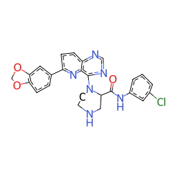 O=C(Nc1cccc(Cl)c1)C1CNCCN1c1ncnc2ccc(-c3ccc4c(c3)OCO4)nc12